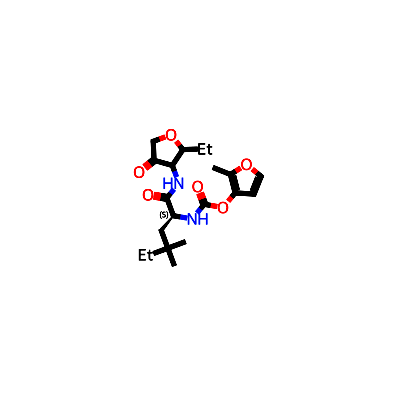 CCC1OCC(=O)C1NC(=O)[C@H](CC(C)(C)CC)NC(=O)Oc1ccoc1C